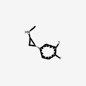 CN[C@@H]1C[C@H]1c1ccc(F)c(F)c1